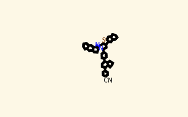 N#Cc1ccc(-c2ccc(-c3ccc(-c4cc5c6cc7ccccc7cc6sc5c5nc6c7cc8ccccc8cc7ccc6n45)cc3)c3ccccc23)cc1